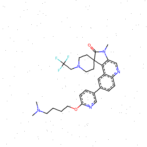 CN(C)CCCCOc1ccc(-c2ccc3ncc4c(c3c2)C2(CCN(CC(F)(F)F)CC2)C(=O)N4C)cn1